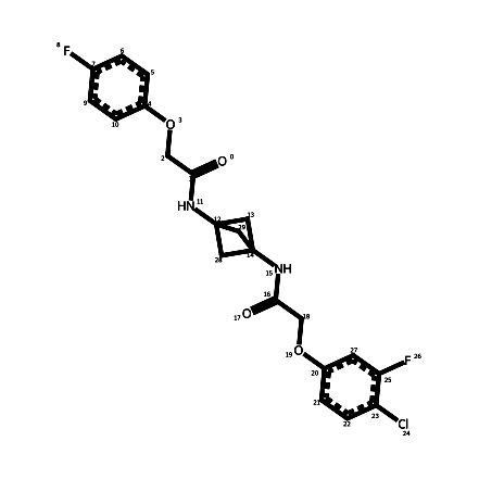 O=C(COc1ccc(F)cc1)NC12CC(NC(=O)COc3ccc(Cl)c(F)c3)(C1)C2